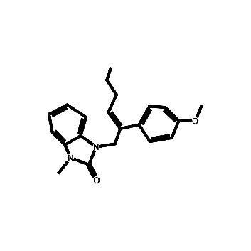 CCC/C=C(/Cn1c(=O)n(C)c2ccccc21)c1ccc(OC)cc1